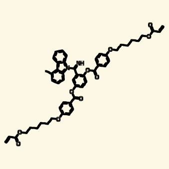 C=CC(=O)OCCCCCCOc1ccc(C(=O)Oc2ccc(OC(=O)c3ccc(OCCCCCCOC(=O)C=C)cc3)c(C(=N)n3c4ccccc4c4c(C)cccc43)c2)cc1